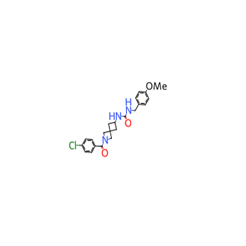 COc1ccc(CNC(=O)NC2CC3(C2)CN(C(=O)c2ccc(Cl)cc2)C3)cc1